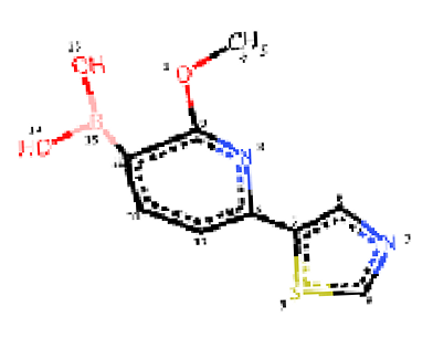 COc1nc(-c2cncs2)ccc1B(O)O